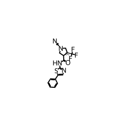 N#CN1CC(C(=O)Nc2ncc(-c3ccccc3)s2)[C@H](C(F)(F)F)C1